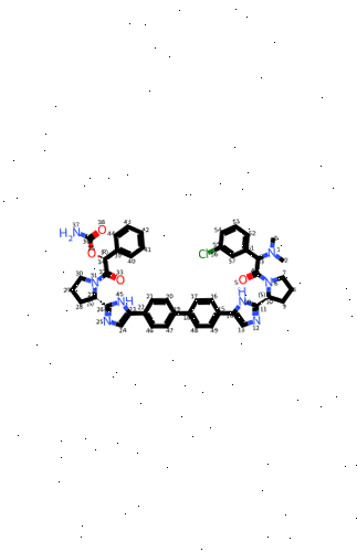 CN(C)C(C(=O)N1CCC[C@H]1c1ncc(-c2ccc(-c3ccc(-c4cnc([C@@H]5CCCN5C(=O)[C@H](OC(N)=O)c5ccccc5)[nH]4)cc3)cc2)[nH]1)c1cccc(Cl)c1